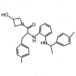 Cc1ccc(CC(Nc2ccccc2NC(C)c2ccc(C)cc2)C(=O)N2CC(O)C2)cc1